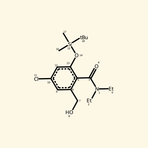 CCN(CC)C(=O)c1c(CO)cc(Cl)cc1O[Si](C)(C)C(C)(C)C